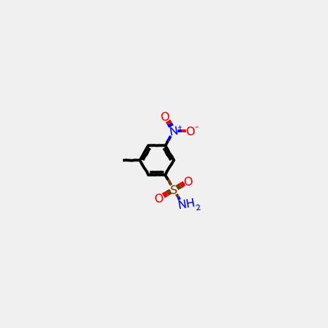 Cc1cc([N+](=O)[O-])cc(S(N)(=O)=O)c1